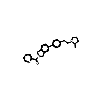 CC1CCCN1CCc1ccc(-c2ccc3c(c2)CN(C(=O)c2ccccn2)C3)cc1